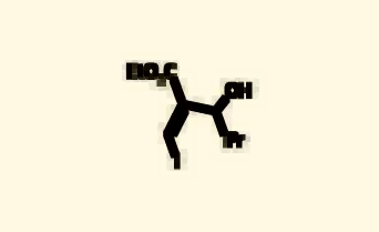 CCOC(=O)C(=CI)C(O)C(C)C